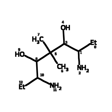 CCC(N)C(O)C(C)(C)C(O)C(N)CC